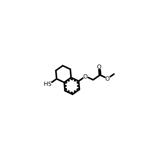 COC(=O)COc1cccc2c1CCCC2S